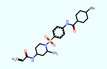 C=CC(=O)NC1CCN(S(=O)(=O)c2ccc(NC(=O)C3CCC(C(C)(C)C)CC3)cc2)C(C)C1